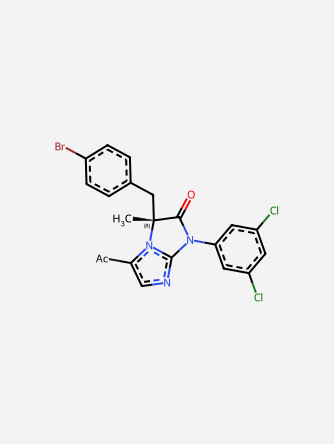 CC(=O)c1cnc2n1[C@](C)(Cc1ccc(Br)cc1)C(=O)N2c1cc(Cl)cc(Cl)c1